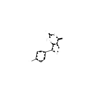 O=c1[nH]c(=O)c2onc(-c3ccc(Br)cc3)c2[nH]1